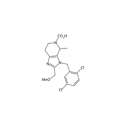 COCc1nc2c(n1Cc1cc(Cl)ccc1Cl)C(C)N(C(=O)O)CC2